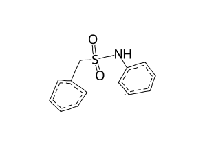 O=S(=O)(Cc1ccccc1)Nc1c[c]ccc1